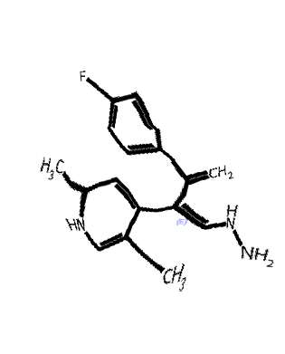 C=C(/C(=C\NN)C1=CC(C)NC=C1C)c1ccc(F)cc1